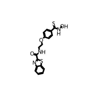 O=C(NCCOc1ccc(C(=S)NO)cc1)c1nc2ccccc2s1